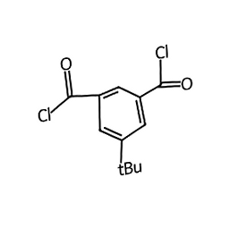 CC(C)(C)c1cc(C(=O)Cl)cc(C(=O)Cl)c1